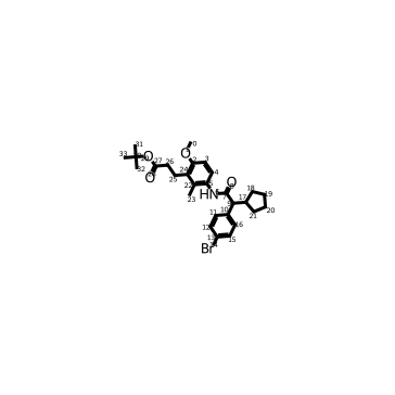 COc1ccc(NC(=O)C(c2ccc(Br)cc2)C2CCCC2)c(C)c1CCC(=O)OC(C)(C)C